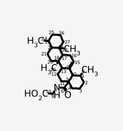 CC1CCCC2(C(=O)NCC(=O)O)CCC3C(=CCC4C3(C)CCC3C(C)CCCC34C)C12